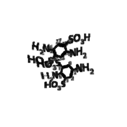 Nc1cc(S(=O)(=O)O)c(N)c(S(=O)(=O)O)c1.Nc1cc(S(=O)(=O)O)c(N)cc1S(=O)(=O)O